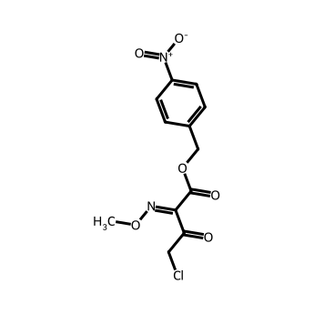 CON=C(C(=O)CCl)C(=O)OCc1ccc([N+](=O)[O-])cc1